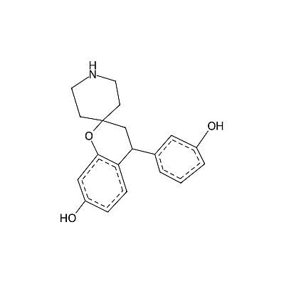 Oc1cccc(C2CC3(CCNCC3)Oc3cc(O)ccc32)c1